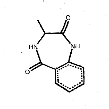 CC1NC(=O)c2ccccc2NC1=O